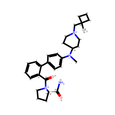 CN(c1ccc(-c2ccccc2C(=O)N2CCC[C@H]2C(N)=O)cc1)C1CCN(CC2(C(F)(F)F)CCC2)CC1